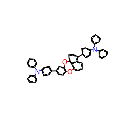 c1ccc(N(c2ccccc2)c2ccc(-c3ccc4c(c3)Oc3ccc(-c5ccc(N(c6ccccc6)c6ccccc6)cc5)c5cccc(c35)O4)cc2)cc1